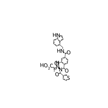 C[C@H](NN(C(=O)c1ccsc1)C(=O)c1ccc(C(=O)NCc2cccc3[nH]ccc23)cc1Cl)C(=O)O